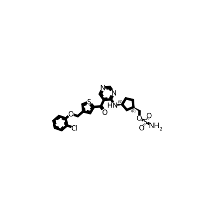 NS(=O)(=O)OC[C@@H]1CC[C@H](Nc2ncncc2C(=O)c2cc(COc3ccccc3Cl)cs2)C1